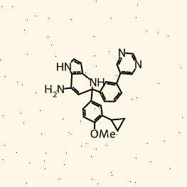 COc1ccc(C2(c3cccc(-c4cncnc4)c3)C=C(N)c3[nH]ccc3N2)cc1C1CC1